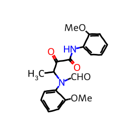 COc1ccccc1NC(=O)C(=O)C(C)N(C=O)c1ccccc1OC